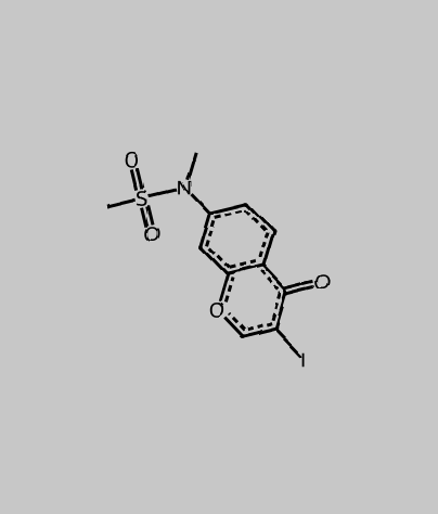 CN(c1ccc2c(=O)c(I)coc2c1)S(C)(=O)=O